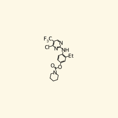 CCc1cc(OC(=O)N2CCCCC2)ccc1Nc1ncc(C(F)(F)F)c(Cl)n1